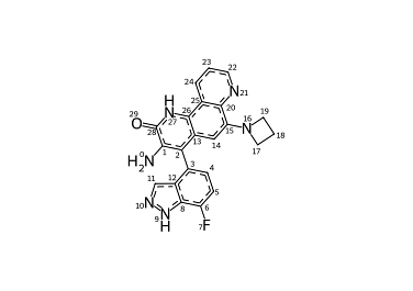 Nc1c(-c2ccc(F)c3[nH]ncc23)c2cc(N3CCC3)c3ncccc3c2[nH]c1=O